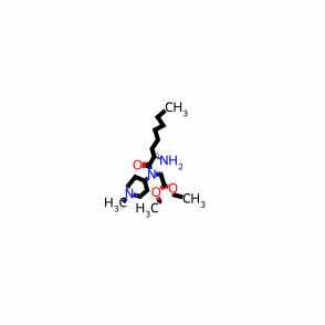 CCCCCC[C@H](N)C(=O)N(CC(OCC)OCC)C1CCN(C)CC1